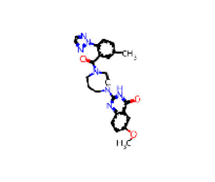 COc1ccc2nc(N3CCCN(C(=O)c4cc(C)ccc4-n4nccn4)CC3)[nH]c(=O)c2c1